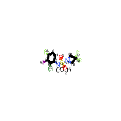 O=C(O)N(c1ccc(F)c(I)c1Cl)S(=O)(=O)N1CC(F)(F)C1